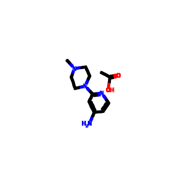 CC(=O)O.CN1CCN(c2cc(N)ccn2)CC1